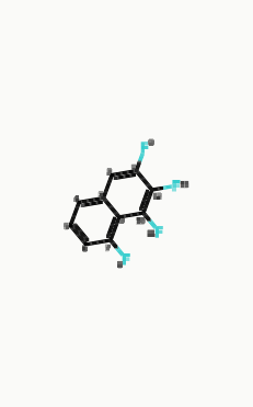 Fc1cc2cccc(F)c2c(F)c1F